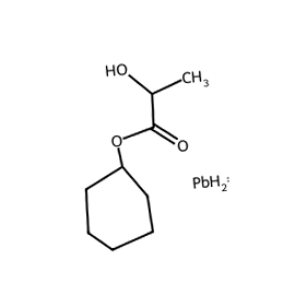 CC(O)C(=O)OC1CCCCC1.[PbH2]